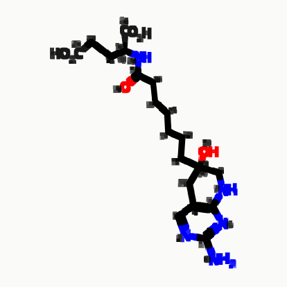 Nc1ncc2c(n1)NC[C@@](O)(CCCCCCC(=O)N[C@@H](CCC(=O)O)C(=O)O)C2